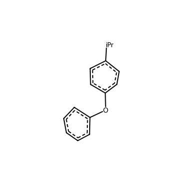 CC(C)c1ccc(Oc2ccccc2)cc1